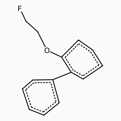 FCCOc1ccccc1-c1ccccc1